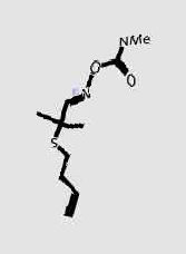 C=CCCSC(C)(C)/C=N/OC(=O)NC